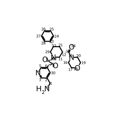 NCc1cncc(S(=O)(=O)N2C[C@@H](C(=O)N3CCOCC3)C[C@@H](c3ccccc3)C2)c1